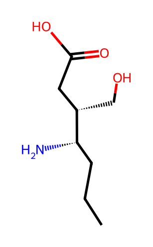 CCC[C@H](N)[C@@H](CO)CC(=O)O